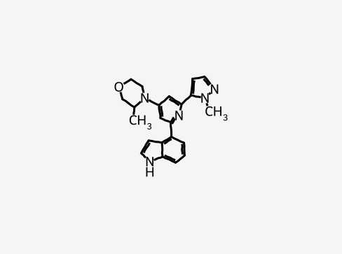 CC1COCCN1c1cc(-c2cccc3[nH]ccc23)nc(-c2ccnn2C)c1